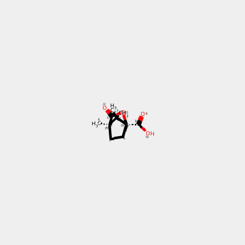 CC1(C)[C@@]2(C)CC[C@]1(C(=O)O)OC2=O